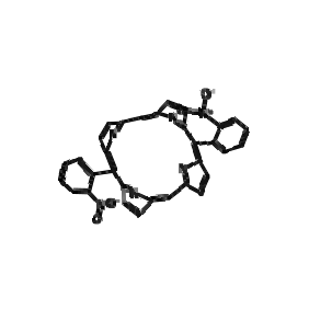 O=[N+]([O-])c1ccccc1C1=C2C=CC(=N2)C=C2C=CC(=N2)C(c2ccccc2[N+](=O)[O-])=C2C=CC(=N2)C=C2C=CC1=N2